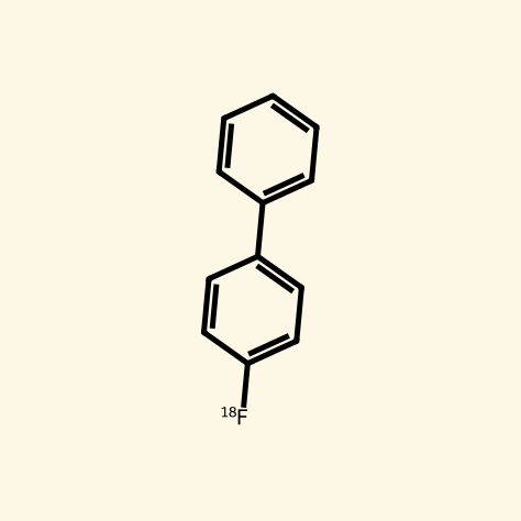 [18F]c1ccc(-c2ccccc2)cc1